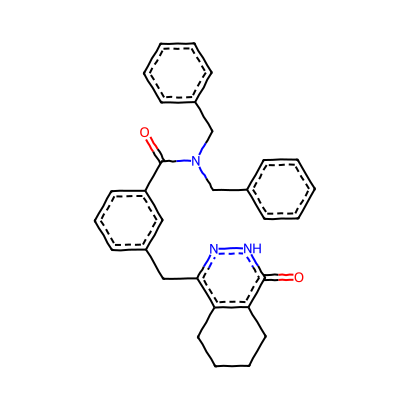 O=C(c1cccc(Cc2n[nH]c(=O)c3c2CCCC3)c1)N(Cc1ccccc1)Cc1ccccc1